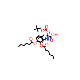 CCCCCC(=O)Oc1ccc(C[C@](NC(C)CC)(OC(=O)OCC(C)(C)C)C(=O)O)cc1OC(=O)CCCCC